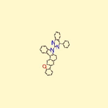 c1ccc(-c2nc(-n3c4ccccc4c4c5cc6oc7ccccc7c6cc5ccc43)nc3ccccc23)cc1